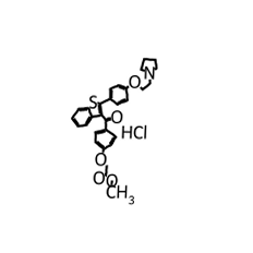 COC(=O)COc1ccc(C(=O)c2c(-c3ccc(OCCN4CCCC4)cc3)sc3ccccc23)cc1.Cl